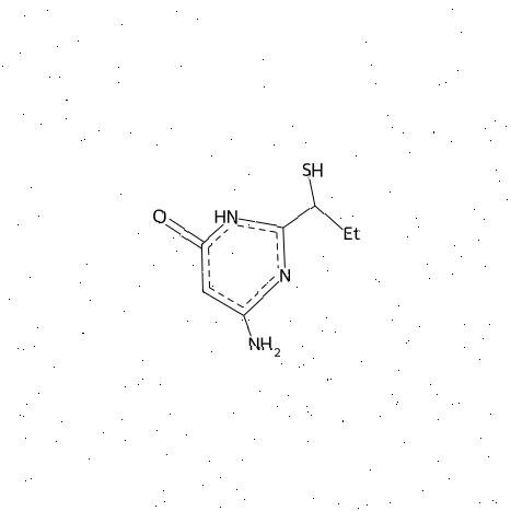 CCC(S)c1nc(N)cc(=O)[nH]1